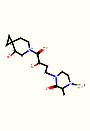 CC1C(=O)N(CCC(O)C(=O)N2CCC3(CC3)C(O)C2)CCN1C(=O)O